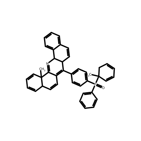 CC12C=CC=CC1C=CC1=C(c3ccc(P(=O)(c4ccccc4)C4(C)C=CC=CC4)cc3)C3C=Cc4ccccc4C3N=C12